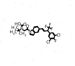 CC(C)(C)N(CC(=O)n1ccc2cc(C=CC(c3cc(Cl)c(F)c(Cl)c3)C(F)(F)F)ccc21)C(=O)O